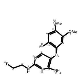 COc1cc(Oc2cnc(NCCF)nc2N)c(C(C)C)cc1OC